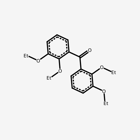 CCOc1cccc(C(=O)c2cccc(OCC)c2OCC)c1OCC